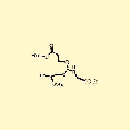 CCOC(=O)CNP(OCCC(=O)OC(C)(C)C)OCC(CC)OC